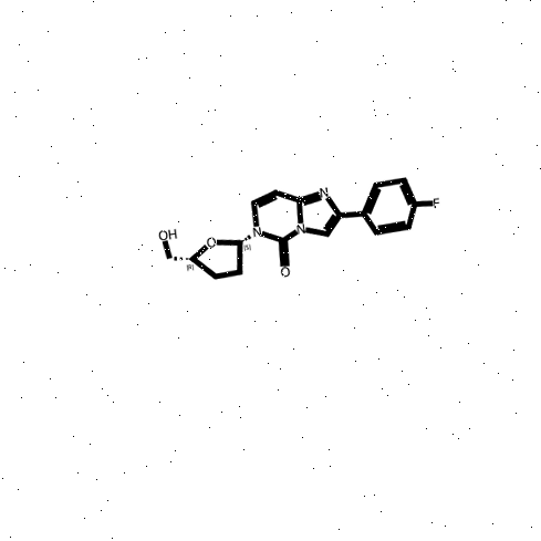 O=c1n([C@@H]2CC[C@H](CO)O2)ccc2nc(-c3ccc(F)cc3)cn12